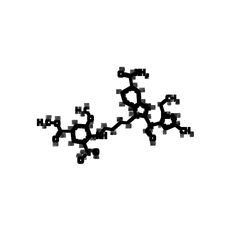 CCn1nc(C)cc1N(C=O)c1nc2cc(C(N)=O)ccc2n1CCCCNc1c(OC)cc(C(=O)OC)cc1[N+](=O)[O-]